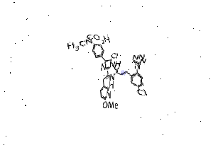 COc1ccc(C[C@H](NC(=O)/C=C/c2cc(Cl)ccc2-n2cnnn2)c2nc(-c3ccc(N(C)C(=O)O)cc3)c(Cl)[nH]2)cn1